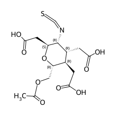 CC(=O)OC[C@@H]1O[C@@H](CC(=O)O)[C@H](N=C=S)[C@H](CC(=O)O)[C@H]1CC(=O)O